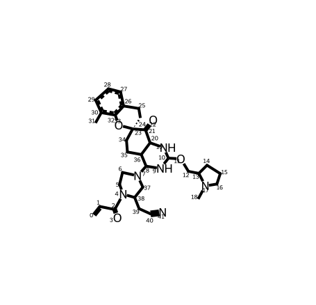 C=CC(=O)N1CCN(C2NC(OCC3CCCN3C)NC3C(=O)[C@@]4(CCc5cccc(C)c5O4)CCC32)CC1CC#N